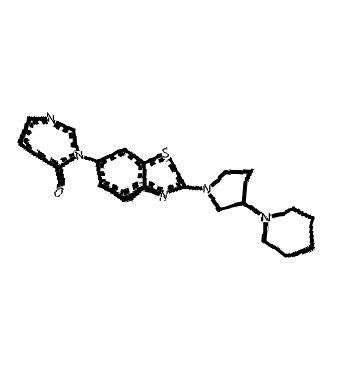 O=c1ccncn1-c1ccc2nc(N3CCC(N4CCCCC4)C3)sc2c1